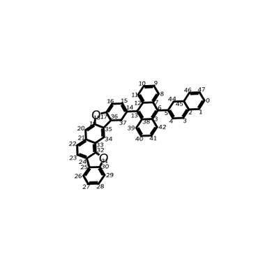 C1=CC2=CC=C(c3c4ccccc4c(C4=CC=C5Oc6cc7ccc8c9ccccc9oc8c7cc6C5C4)c4ccccc34)CC2C=C1